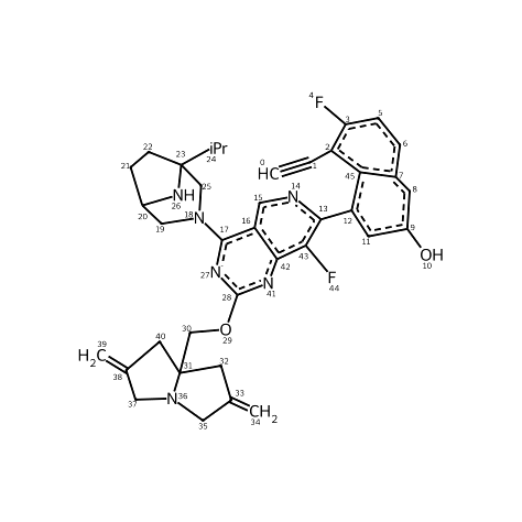 C#Cc1c(F)ccc2cc(O)cc(-c3ncc4c(N5CC6CCC(C(C)C)(C5)N6)nc(OCC56CC(=C)CN5CC(=C)C6)nc4c3F)c12